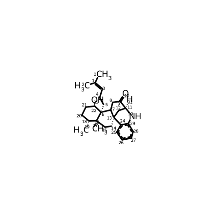 CC(C)=CCC[C@]12C3CC(=O)[C@@H]4C[C@@]3(CC[C@@]1(C)[C@H](C)CC[C@@H]2O)c1ccccc1N4